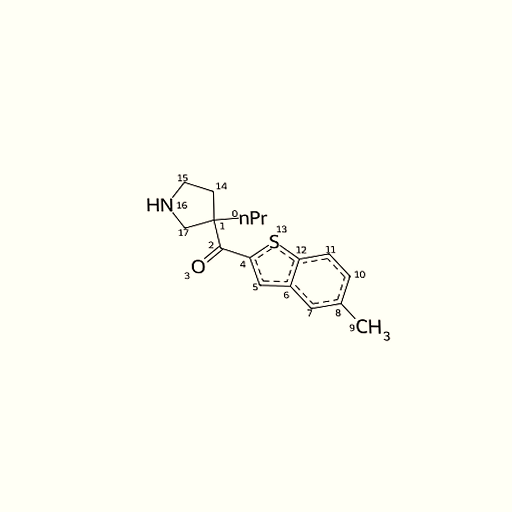 CCCC1(C(=O)c2cc3cc(C)ccc3s2)CCNC1